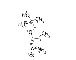 C=C/C(=C\N(N)CC)OCC(C)(C)O